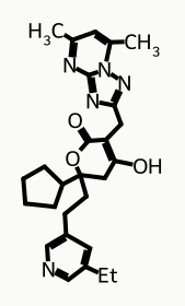 CCc1cncc(CCC2(C3CCCC3)CC(O)=C(Cc3nc4nc(C)cc(C)n4n3)C(=O)O2)c1